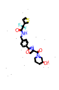 O=C(c1coc(-c2ccc(CNC(=O)C(F)(F)c3ccsc3)cc2)n1)N1CCCC(O)C1